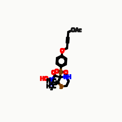 CC(=O)OCC#CCOc1ccc(S(=O)(=O)[C@]2(C(=O)NO)NCCSC2(C)C)cc1